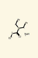 CCSC(=O)N(CC(C)C)CC(C)C.[NaH]